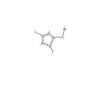 Cc1nc(C)c(CBr)o1